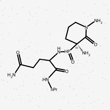 CCCNC(=O)C(CCC(N)=O)N[PH](=O)[C@@]1(N)CCCN(N)C1=O